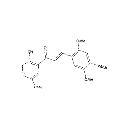 COc1ccc(O)c(C(=O)/C=C/c2cc(OC)c(OC)cc2OC)c1